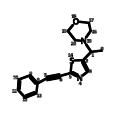 CC(c1cnc(C#Cc2ccccc2)s1)N1CCOCC1